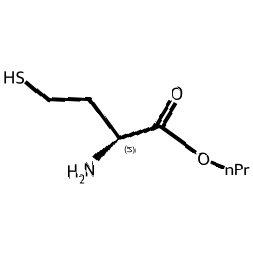 CCCOC(=O)[C@@H](N)CCS